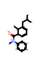 CC(C)CC1=CC=CC(C(=O)N(C)c2ccccc2)C1C